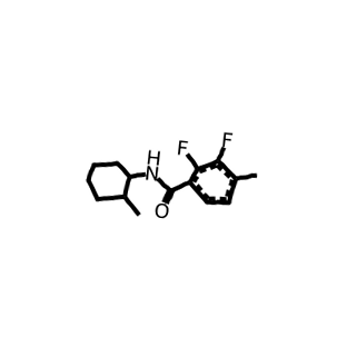 Cc1ccc(C(=O)NC2CCCCC2C)c(F)c1F